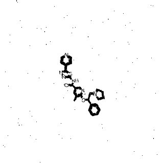 Cc1cc(C(=O)Nc2nnc(-c3ccncc3)s2)cnc1OC(CN1CCCC1)c1ccccc1